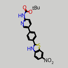 CC(C)(C)OC(=O)Nc1ccc(-c2ccc(C3Nc4ccc([N+](=O)[O-])cc4S3)cc2)cn1